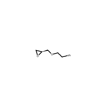 CCCCCOC[C@@H]1CO1